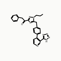 CCCn1nc(C(=O)Cc2ccccc2)nc1Cc1ccc(-c2ccncc2-c2nnn[nH]2)cc1